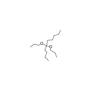 CCCCCC(CCCC)(OCCC)OCCC